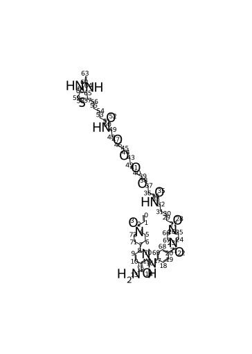 C=CC(=O)N1CCC(c2ccc(C(N)=O)c(Nc3ccc(C(=O)N4CCN(C(=O)CCCCNC(=O)CCOCCOCCOCCOCCNC(=O)CCCCC5SCC6NC(=C)NC65)CC4)cc3)n2)CC1